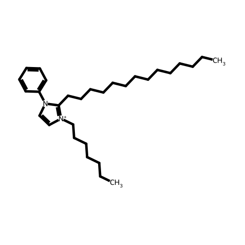 CCCCCCCCCCCCCCc1n(-c2ccccc2)cc[n+]1CCCCCCC